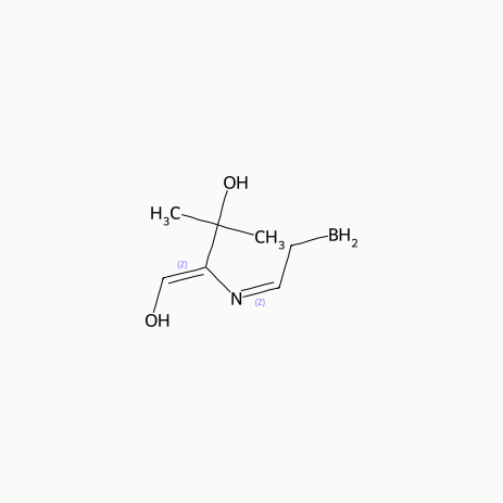 BC/C=N\C(=C/O)C(C)(C)O